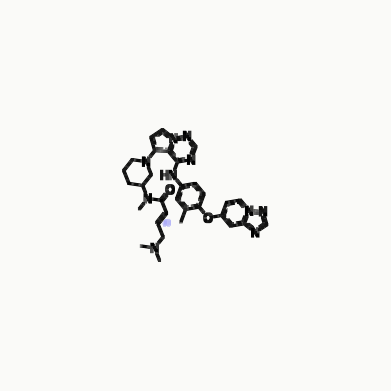 Cc1cc(Nc2ncnn3ccc(N4CCCC(N(C)C(=O)/C=C/CN(C)C)C4)c23)ccc1Oc1ccn2ncnc2c1